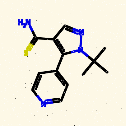 CC(C)(C)n1ncc(C(N)=S)c1-c1ccncc1